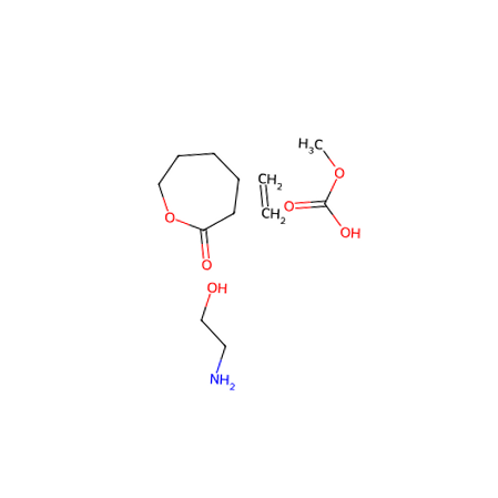 C=C.COC(=O)O.NCCO.O=C1CCCCCO1